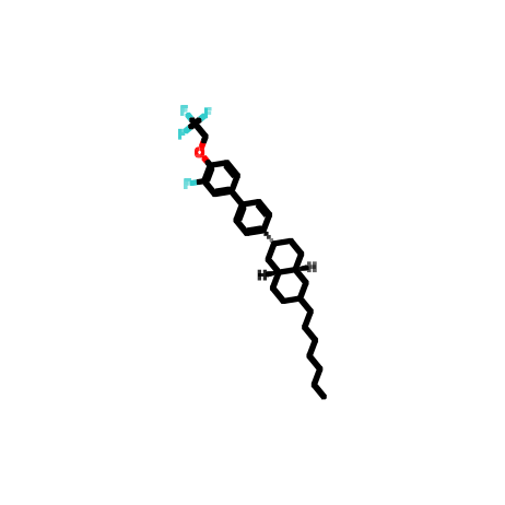 CCCCCCCC1CC[C@@H]2C[C@H](c3ccc(-c4ccc(OCC(F)(F)F)c(F)c4)cc3)CC[C@@H]2C1